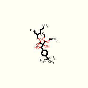 CCCCC(CC)COC(=O)C(O)(C(OCC)OCC)C(O)c1ccc(C(C)(C)C)cc1